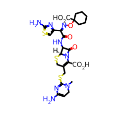 CN1CC=C(N)N=C1SCC1=C(C(=O)O)N2C(=O)C(NC(=O)/C(=N\OC3(C(=O)O)CCCCC3)c3csc(N)n3)[C@@H]2SC1